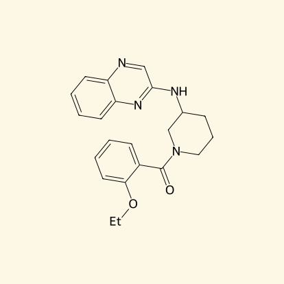 CCOc1ccccc1C(=O)N1CCCC(Nc2cnc3ccccc3n2)C1